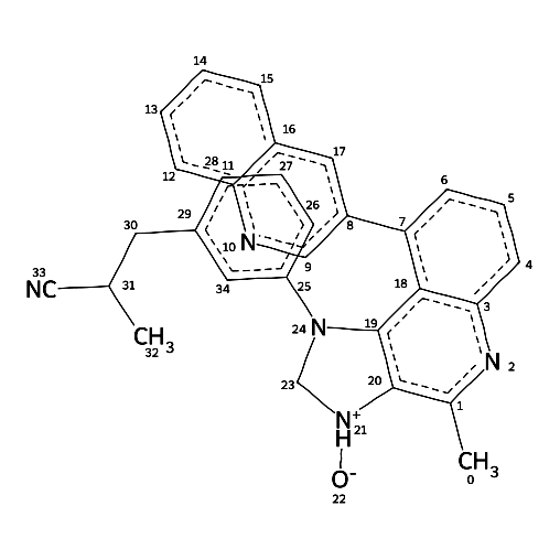 Cc1nc2cccc(-c3cnc4ccccc4c3)c2c2c1[NH+]([O-])CN2c1cccc(CC(C)C#N)c1